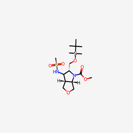 COC(=O)N1[C@@H]2COC[C@@H]2C(NS(C)(=O)=O)[C@@H]1CO[Si](C)(C)C(C)(C)C